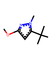 COc1cc(C(C)(C)C)n(C)n1